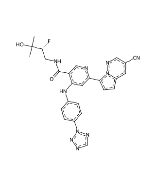 CC(C)(O)[C@H](F)CNC(=O)c1cnc(-c2ccc3cc(C#N)cnn23)cc1Nc1ccc(-n2ncnn2)cc1